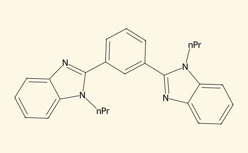 CCCn1c(-c2cccc(-c3nc4ccccc4n3CCC)c2)nc2ccccc21